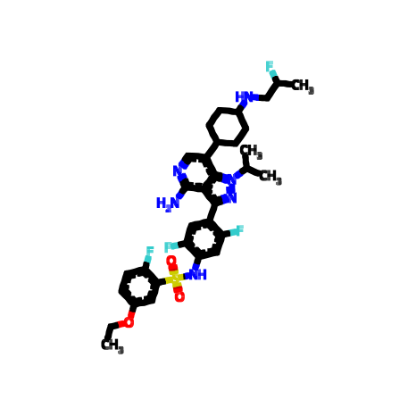 CCOc1ccc(F)c(S(=O)(=O)Nc2cc(F)c(-c3nn(C(C)C)c4c(C5CCC(NCC(C)F)CC5)cnc(N)c34)cc2F)c1